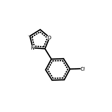 Clc1cccc(-c2n[c]co2)c1